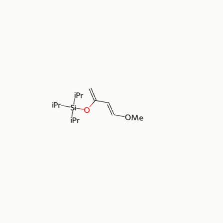 C=C(C=COC)O[Si](C(C)C)(C(C)C)C(C)C